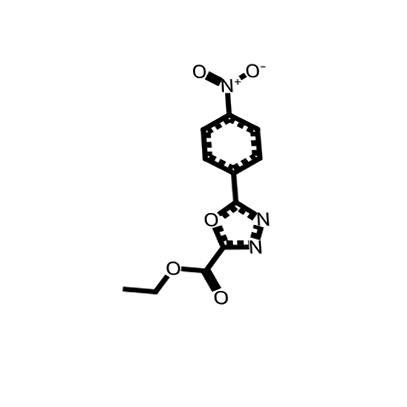 CCOC(=O)c1nnc(-c2ccc([N+](=O)[O-])cc2)o1